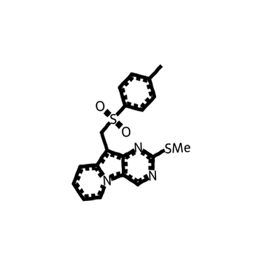 CSc1ncc2c(n1)c(CS(=O)(=O)c1ccc(C)cc1)c1ccccn12